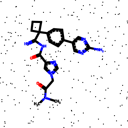 CN(C)C(=O)Cn1cnc(C(=O)NC(=N)C2(c3ccc(-c4cnc(N)nc4)cc3)CCC2)c1